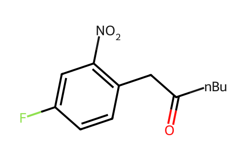 CCCCC(=O)Cc1ccc(F)cc1[N+](=O)[O-]